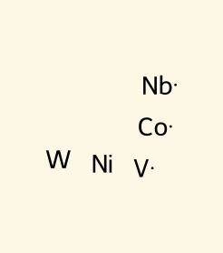 [Co].[Nb].[Ni].[V].[W]